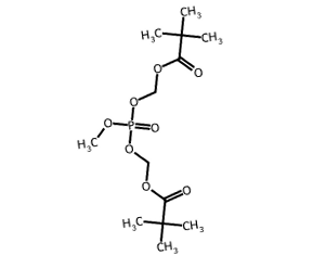 COP(=O)(OCOC(=O)C(C)(C)C)OCOC(=O)C(C)(C)C